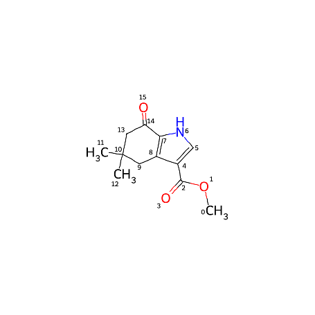 COC(=O)c1c[nH]c2c1CC(C)(C)CC2=O